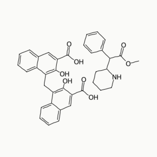 COC(=O)C(c1ccccc1)C1CCCCN1.O=C(O)c1cc2ccccc2c(Cc2c(O)c(C(=O)O)cc3ccccc23)c1O